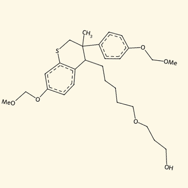 COCOc1ccc(C2(C)CSc3cc(OCOC)ccc3C2CCCCCOCCCO)cc1